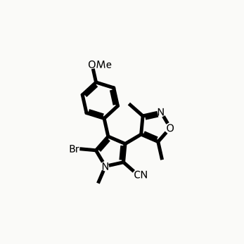 COc1ccc(-c2c(-c3c(C)noc3C)c(C#N)n(C)c2Br)cc1